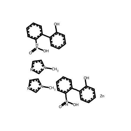 Cn1ccnc1.Cn1ccnc1.O=[PH](O)c1ccccc1-c1ccccc1O.O=[PH](O)c1ccccc1-c1ccccc1O.[Zn]